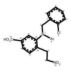 CC(=O)N(Cc1ccccc1Cl)c1cc(C(=O)O)ccc1CC[N+](=O)[O-]